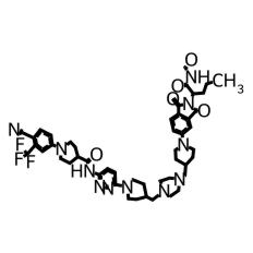 CCCC(C(=O)NC=O)N1C(=O)c2ccc(N3CCC(CN4CCN(CC5CCN(c6ccc(NC(=O)C7CCN(c8ccc(C#N)c(C(F)(F)F)c8)CC7)nn6)CC5)CC4)CC3)cc2C1=O